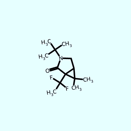 CC(C)(C)N1CC2C(C)(C)C2(C(C)(F)F)C1=O